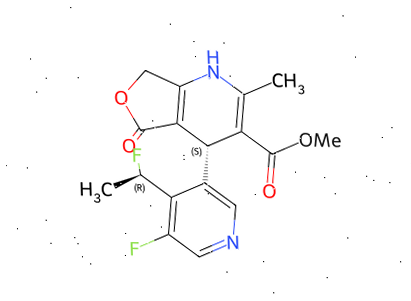 COC(=O)C1=C(C)NC2=C(C(=O)OC2)[C@H]1c1cncc(F)c1[C@@H](C)F